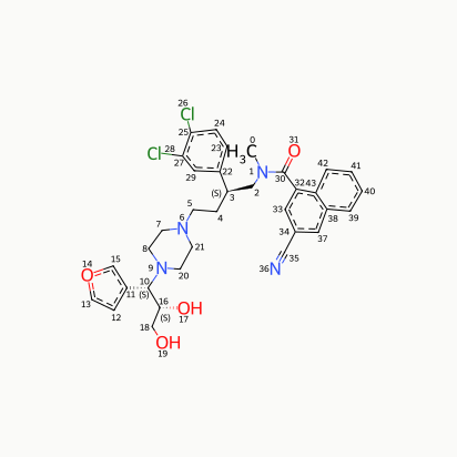 CN(C[C@@H](CCN1CCN([C@@H](c2ccoc2)[C@H](O)CO)CC1)c1ccc(Cl)c(Cl)c1)C(=O)c1cc(C#N)cc2ccccc12